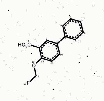 O=C(O)c1cc(-c2ccccc2)ccc1OCF